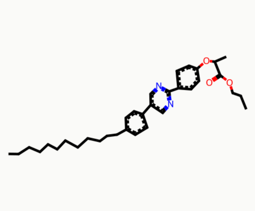 CCCCCCCCCCCCc1ccc(-c2cnc(-c3ccc(OC(C)C(=O)OCCC)cc3)nc2)cc1